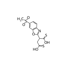 CS(=O)(=O)c1ccc2nc(C(CC(O)=S)C(O)=S)oc2c1